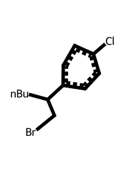 CCCCC(CBr)c1ccc(Cl)cc1